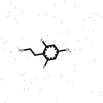 OCCc1c(F)cc(C(F)(F)F)cc1F